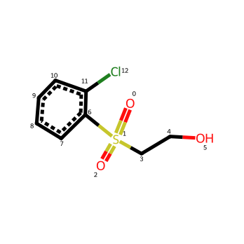 O=S(=O)(CCO)c1ccccc1Cl